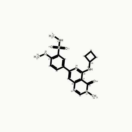 CNS(=O)(=O)c1cc(-c2cc3ncn(C)c(=O)c3c(NC3CCC3)n2)ccc1OC